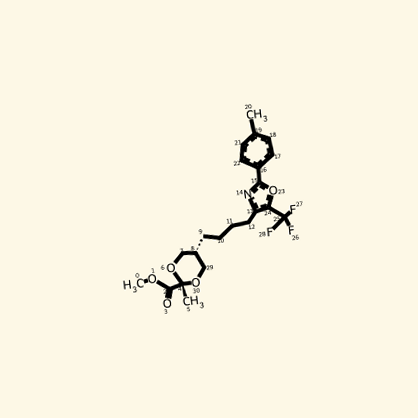 COC(=O)[C@]1(C)OC[C@H](CCCCc2nc(-c3ccc(C)cc3)oc2C(F)(F)F)CO1